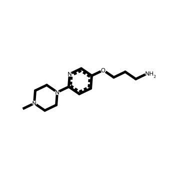 CN1CCN(c2ccc(OCCCN)cn2)CC1